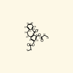 CCC(=O)Oc1cc2c(c(OC(=O)CC)c1)C(=O)c1ccccc1CC2